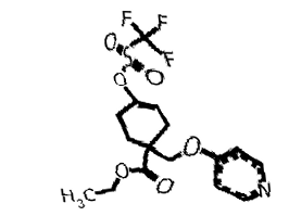 CCOC(=O)C1(COc2ccncc2)CC=C(OS(=O)(=O)C(F)(F)F)CC1